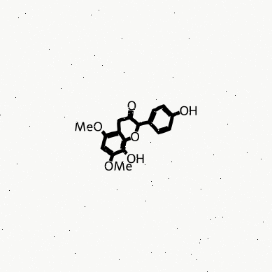 COc1cc(OC)c2c(c1O)OC(c1ccc(O)cc1)C(=O)C2